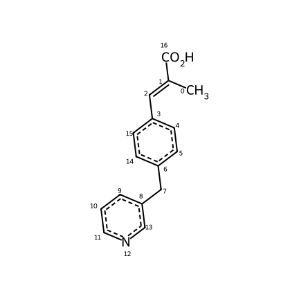 CC(=Cc1ccc(Cc2cccnc2)cc1)C(=O)O